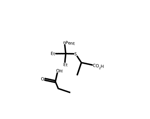 CCC(=O)O.CCCCCC(CC)(CC)SC(C)C(=O)O